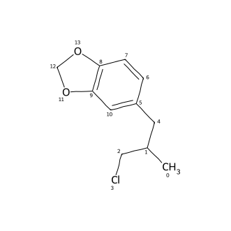 CC(CCl)Cc1ccc2c(c1)OCO2